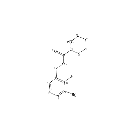 O=C(OCc1ccnc(Br)c1F)C1CCCCN1